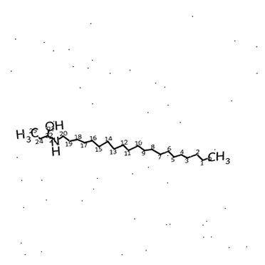 CCCCCCCCCCCCCCCCCCCCCNC(O)CC